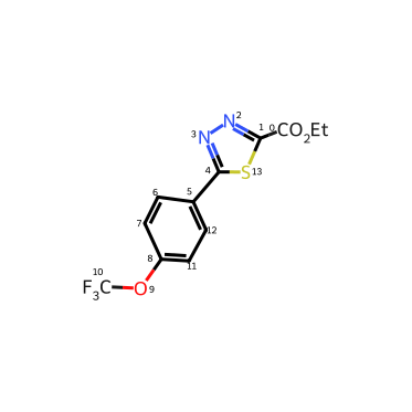 CCOC(=O)c1nnc(-c2ccc(OC(F)(F)F)cc2)s1